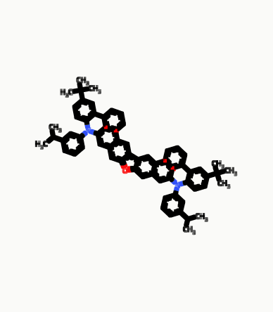 CC(C)c1cccc(N(c2ccc3cc4c(cc3c2)oc2cc3cc(N(c5cccc(C(C)C)c5)c5ccc(C(C)(C)C)cc5-c5ccccc5)ccc3cc24)c2ccc(C(C)(C)C)cc2-c2ccccc2)c1